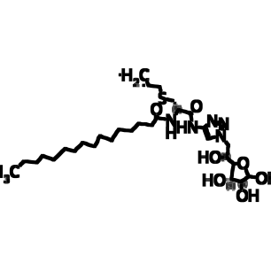 [CH2][CH]CSC[C@@H](NC(=O)CCCCCCCCCCCCCCC)C(=O)Nc1cn(C[C@H](O)C2OC(O)[C@@H](O)[C@@H]2O)nn1